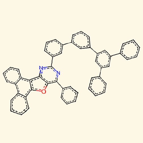 c1ccc(-c2cc(-c3ccccc3)cc(-c3cccc(-c4cccc(-c5nc(-c6ccccc6)c6oc7c8ccccc8c8ccccc8c7c6n5)c4)c3)c2)cc1